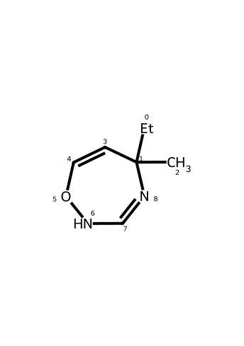 CCC1(C)C=CONC=N1